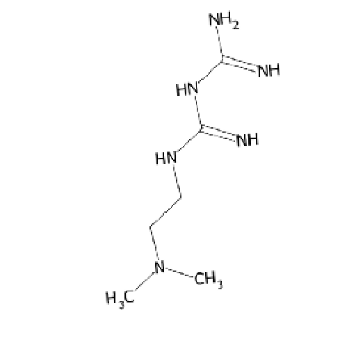 CN(C)CCNC(=N)NC(=N)N